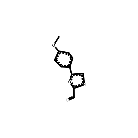 COc1ccc(-c2cnc(C=O)o2)cc1